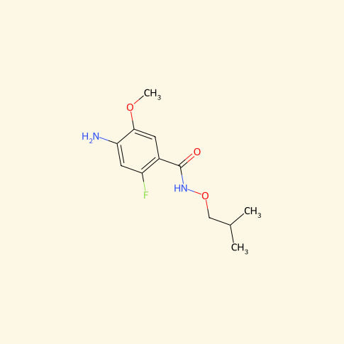 COc1cc(C(=O)NOCC(C)C)c(F)cc1N